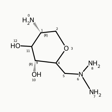 N[C@@H]1COC(CN(N)N)[C@H](O)C1O